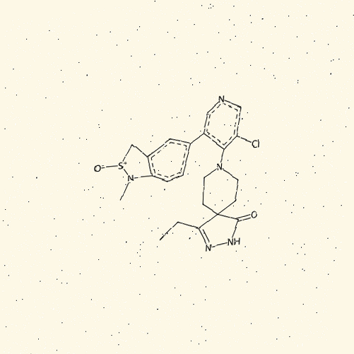 CCC1=NNC(=O)C12CCN(c1c(Cl)cncc1-c1ccc3c(c1)C[S+]([O-])N3C)CC2